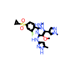 CNC1(c2ccc(S(=O)(=O)C3CC3)cc2F)N=C(Nc2cc(C)[nH]n2)C(OC)=C(c2cnn(C)c2)N1